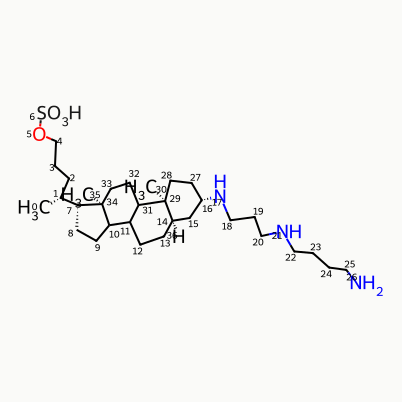 C[C@H](CCCOS(=O)(=O)O)[C@H]1CCC2C3CC[C@@H]4C[C@@H](NCCCNCCCCN)CC[C@]4(C)C3CC[C@@]21C